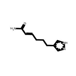 NC(=O)C=CCCCc1cn[nH]c1